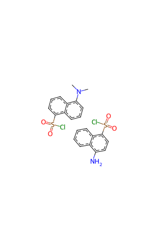 CN(C)c1cccc2c(S(=O)(=O)Cl)cccc12.Nc1ccc(S(=O)(=O)Cl)c2ccccc12